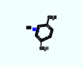 N.O=C(O)c1ccc(C(=O)O)cc1.[KH]